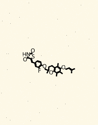 CC(C)=CCOc1c(C)c(C)c2c(c1C)CCC(C)(COc1ccc(/C=C3\SC(=O)NC3=O)cc1F)O2